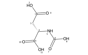 O=C(O)C[C@H](NC(=O)O)C(=O)O